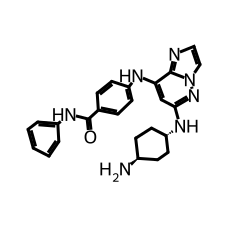 N[C@H]1CC[C@H](Nc2cc(Nc3ccc(C(=O)Nc4ccccc4)cc3)c3nccn3n2)CC1